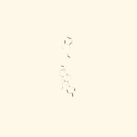 C[C@H]1C[C@H]2[C@@H]3C[C@H](F)C4=CC(=O)C=C[C@]4(C)C3(F)[C@@H](O)C[C@]2(C)[C@@]1(O)C(=O)COC(=O)OCc1ccccc1[N+](=O)[O-]